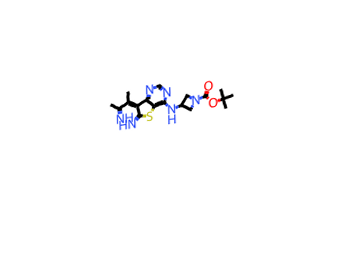 CC(=N)/C(C)=C1\C(=N)Sc2c(NC3CN(C(=O)OC(C)(C)C)C3)ncnc21